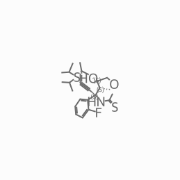 CC(=S)N[C@](C#C[Si](C(C)C)(C(C)C)C(C)C)(c1ccccc1F)[C@H]1COC[C@H]1O